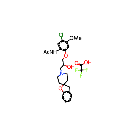 COc1cc(OC[C@@H](O)CN2CCC3(CC2)Cc2ccccc2O3)c(NC(C)=O)cc1Cl.O=C(O)C(F)(F)F